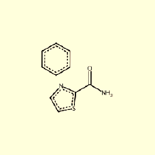 NC(=O)c1nccs1.c1ccccc1